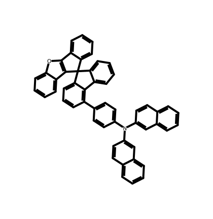 c1ccc2c(c1)-c1oc3ccccc3c1C21c2ccccc2-c2c(-c3ccc(N(c4ccc5ccccc5c4)c4ccc5ccccc5c4)cc3)cccc21